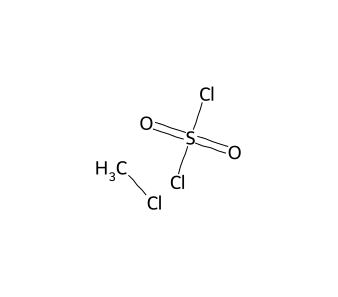 CCl.O=S(=O)(Cl)Cl